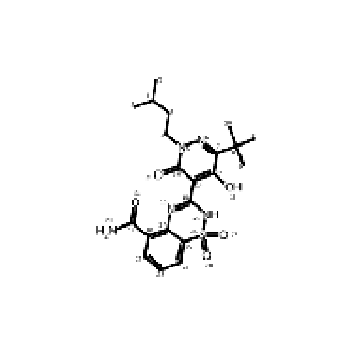 CC(C)CCn1nc(C(C)(C)C)c(O)c(C2=Nc3c(C(N)=O)c[c]cc3S(=O)(=O)N2)c1=O